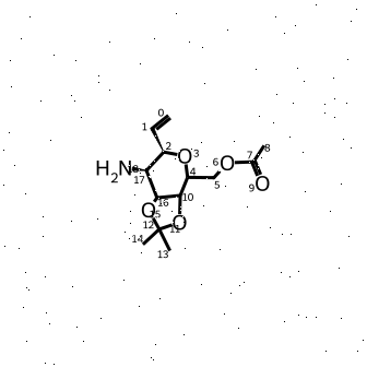 C=C[C@H]1OC(COC(C)=O)C2OC(C)(C)OC2[C@H]1N